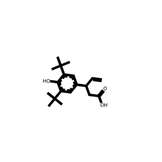 C=CC(CC(=O)O)c1cc(C(C)(C)C)c(O)c(C(C)(C)C)c1